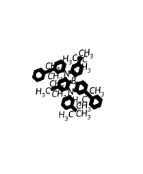 CC(C)(C)c1ccc2c(c1)N(C1=CC=CC(C(C)(C)C3=CCCCC3)C1)c1cc(C(C)(C)C)cc3c1B2c1ccc(C(C)(C)c2ccccc2)cc1N3C1=CCCC(C(C)(C)C)C1